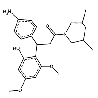 COc1cc(O)c(C(CC(=O)N2CC(C)CC(C)C2)c2ccc(N)cc2)c(OC)c1